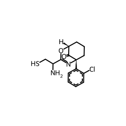 NC(CS)C1=N[C@@]2(c3ccccc3Cl)CCC[C@@H](O1)C2=O